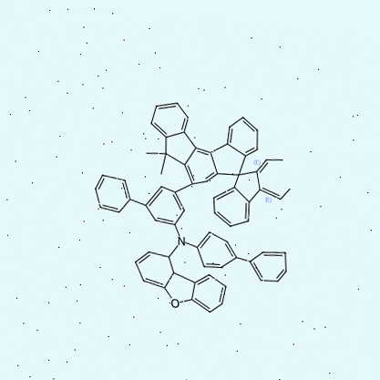 C/C=C1\C(=C/C)C2(c3ccccc31)c1ccccc1-c1c2cc(-c2cc(-c3ccccc3)cc(N(c3ccc(-c4ccccc4)cc3)C3C=CC=C4Oc5ccccc5C43)c2)c2c1-c1ccccc1C2(C)C